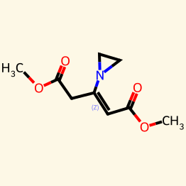 COC(=O)/C=C(/CC(=O)OC)N1CC1